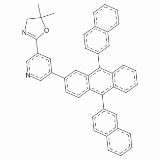 CC1(C)CN=C(c2cncc(-c3ccc4c(-c5ccc6ccccc6c5)c5ccccc5c(-c5ccc6ccccc6c5)c4c3)c2)O1